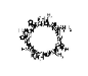 CCCC[C@H]1C(=O)N(C)[C@@H](CCCC)C(=O)N[C@@H](CN)C(=O)N[C@H](C(=O)NCC(N)=O)CSCC(=O)N[C@@H](Cc2ccc(O)cc2)C(=O)N(C)[C@@H](C)C(=O)N[C@@H](CC(N)=O)C(=O)N2CCC[C@H]2C(=O)N[C@@H](CN)C(=O)N[C@@H](CCC(N)=O)C(=O)N2C[C@H](O)C[C@H]2C(=O)N[C@@H](Cc2c[nH]c3ccccc23)C(=O)N[C@@H](CCN)C(=O)N[C@@H](Cc2csc3ccccc23)C(=O)N1C